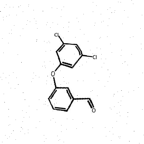 O=Cc1cccc(Oc2cc(Cl)cc(Cl)c2)c1